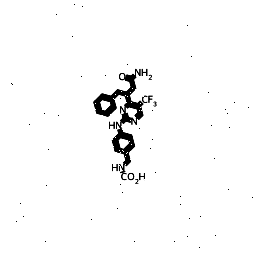 NC(=O)CC(Cc1ccccc1)c1nc(Nc2ccc(CNC(=O)O)cc2)ncc1C(F)(F)F